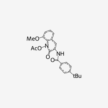 COc1cccc2cc(NC(=O)c3ccc(C(C)(C)C)cc3)c(=O)n(OC(C)=O)c12